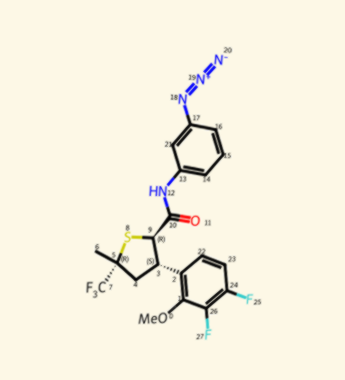 COc1c([C@@H]2C[C@](C)(C(F)(F)F)S[C@H]2C(=O)Nc2cccc(N=[N+]=[N-])c2)ccc(F)c1F